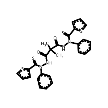 CC(C)(C(=O)NN(C(=S)c1cccs1)c1ccccc1)C(=O)NN(C(=S)c1cccs1)c1ccccc1